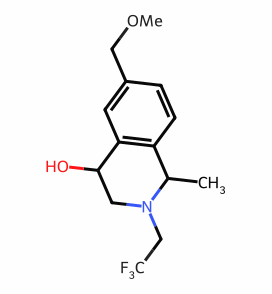 COCc1ccc2c(c1)C(O)CN(CC(F)(F)F)C2C